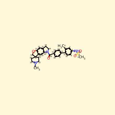 Cc1cc(NS(C)(=O)=O)ccc1-c1ccc(C(=O)N2CCc3cc4c(cc32)C2(CCN(C)CC2)CO4)cc1